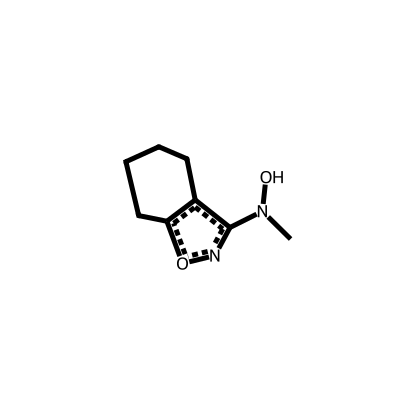 CN(O)c1noc2c1CCCC2